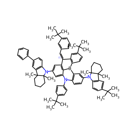 CC(C)(C)c1ccc(N2c3ccc(N4c5ccc(C(C)(C)C)cc5C5(C)CCCCC45C)cc3B3c4ccc(C(C)(C)C)cc4/C(=C\c4cccc(C(C)(C)C)c4)c4cc(N5c6ccc(-c7ccccc7)cc6C6(C)CCCCC56C)cc2c43)cc1